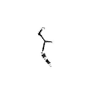 O=C=NC(Cl)CCl